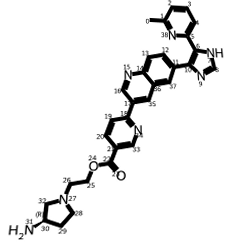 Cc1cccc(-c2[nH]cnc2-c2ccc3ncc(-c4ccc(C(=O)OCCN5CC[C@@H](N)C5)cn4)cc3c2)n1